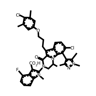 Cc1cc(OCCCc2c3n(c4c(-c5c(C)nn(C)c5C)c(Cl)ccc24)C(C)CN(c2c(C(=O)O)c4c(F)cccc4n2C)C3=O)cc(C)c1Cl